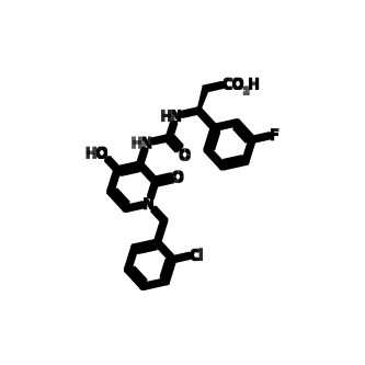 O=C(O)C[C@H](NC(=O)Nc1c(O)ccn(Cc2ccccc2Cl)c1=O)c1cccc(F)c1